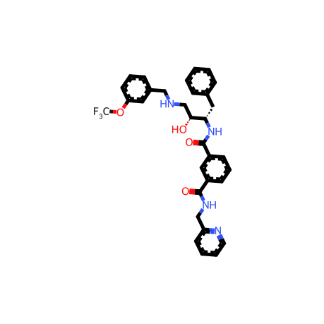 O=C(NCc1ccccn1)c1cccc(C(=O)N[C@@H](Cc2ccccc2)[C@H](O)CNCc2cccc(OC(F)(F)F)c2)c1